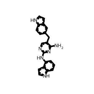 Nc1nc(Nc2cccc3[nH]ccc23)ncc1Cc1ccc2[nH]ccc2c1